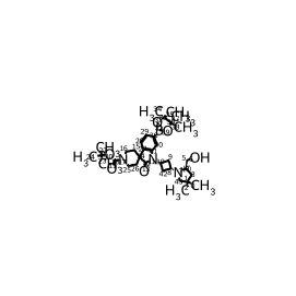 CC1(C)C[C@H](CO)N([C@H]2C[C@@H](N3C(=O)C4(CCN(C(=O)OC(C)(C)C)CC4)c4ccc(B5OC(C)(C)C(C)(C)O5)cc43)C2)C1